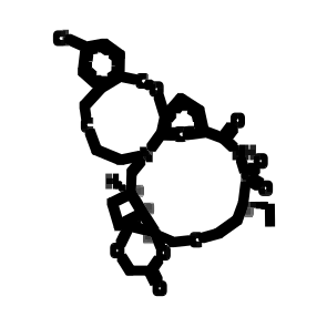 CC[C@@H]1CCCC[C@@]2(COCC(=O)O2)[C@@H]2CC[C@H]2CN2CCCCc3cc(Cl)ccc3COc3ccc(cc32)C(=O)NS1(=O)=O